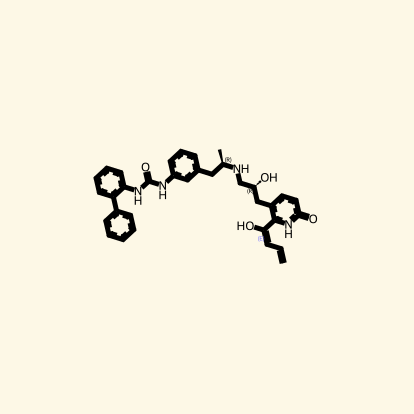 C=C/C=C(/O)c1[nH]c(=O)ccc1C[C@@H](O)CN[C@H](C)Cc1cccc(NC(=O)Nc2ccccc2-c2ccccc2)c1